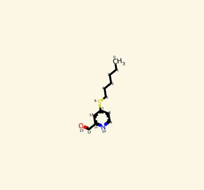 CCCCCCSc1ccnc([C]=O)c1